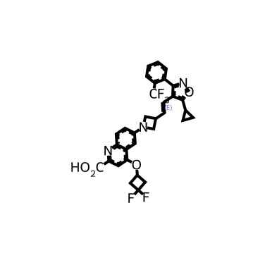 O=C(O)c1cc(OC2CC(F)(F)C2)c2cc(N3CC(/C=C/c4c(-c5ccccc5C(F)(F)F)noc4C4CC4)C3)ccc2n1